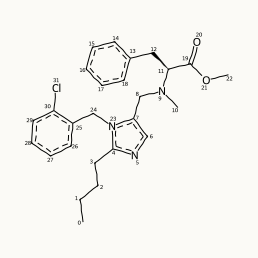 CCCCc1ncc(CN(C)[C@@H](Cc2ccccc2)C(=O)OC)n1Cc1ccccc1Cl